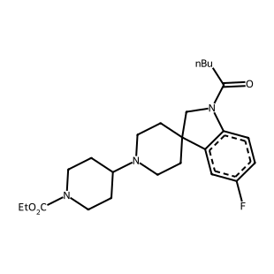 CCCCC(=O)N1CC2(CCN(C3CCN(C(=O)OCC)CC3)CC2)c2cc(F)ccc21